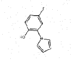 Oc1ccc(F)cc1-n1cccc1